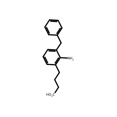 Nc1c(CCCC(=O)O)cccc1Cc1ccccc1